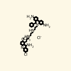 COc1ccc2nc3cc(Cl)ccc3c(N)c2c1CCCNCCCNCCC[n+]1c(-c2ccccc2)c2cc(N)ccc2c2ccc(N)cc21.[Cl-]